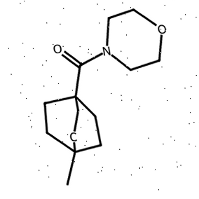 CC12CCC(C(=O)N3CCOCC3)(CC1)CC2